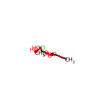 CCCCCCCCCCCCCCCOc1ccc(C(=O)OCCCOC(=O)CCC/C=C\C[C@@H]2[C@@H](/C=C/C[C@H](O)C3(CC)CCC3)[C@H](O)C[C@H]2Cl)cc1